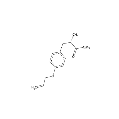 C=CCOc1ccc(C[C@H](C)C(=O)OC)cc1